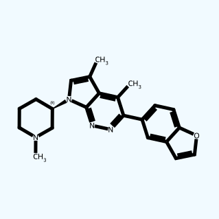 Cc1cn([C@@H]2CCCN(C)C2)c2nnc(-c3ccc4occc4c3)c(C)c12